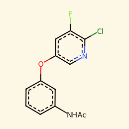 CC(=O)Nc1cccc(Oc2cnc(Cl)c(F)c2)c1